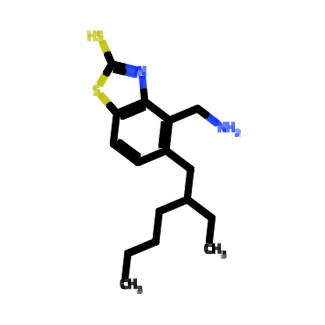 CCCCC(CC)Cc1ccc2sc(S)nc2c1CN